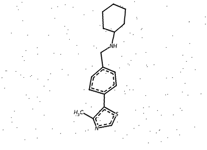 Cc1ncsc1-c1ccc(CNC2CCCCC2)cc1